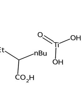 CCCCC(CC)C(=O)O.[O]=[Ti]([OH])[OH]